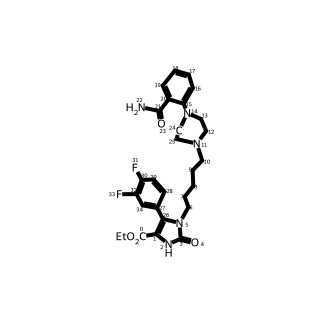 CCOC(=O)c1[nH]c(=O)n(CCCCCN2CCN(c3ccccc3C(N)=O)CC2)c1-c1ccc(F)c(F)c1